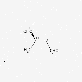 C[C@@H](C=O)CC=O